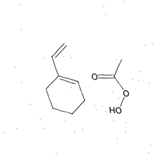 C=CC1=CCCCC1.CC(=O)OO